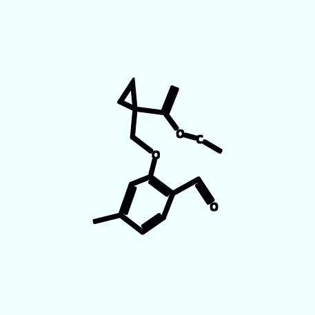 C=C(OCC)C1(COc2cc(C)ccc2C=O)CC1